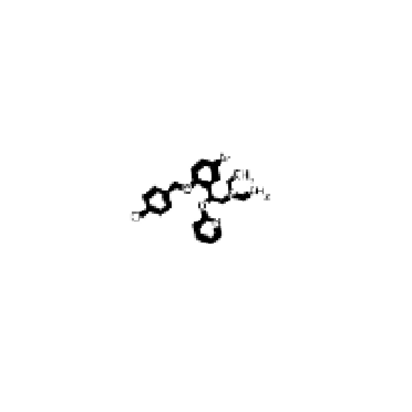 CCN(CC)CC(Oc1ccccn1)c1cc(Br)ccc1OCc1ccc(Cl)cc1